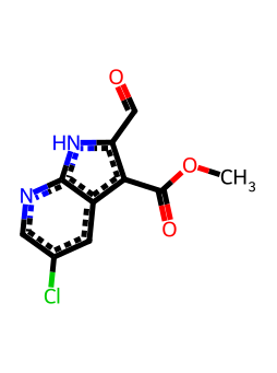 COC(=O)c1c(C=O)[nH]c2ncc(Cl)cc12